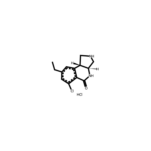 CCc1cc(Cl)c2c(c1)[C@@H]1CNC[C@H]1NC2=O.Cl